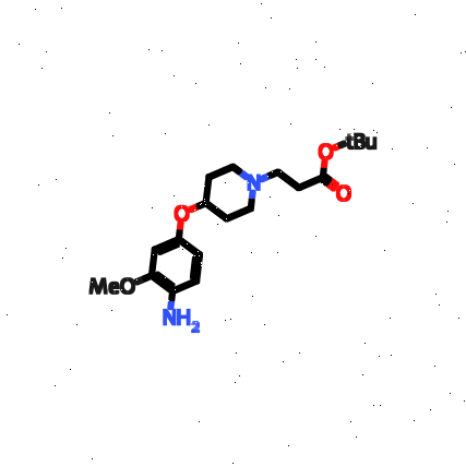 COc1cc(OC2CCN(CCC(=O)OC(C)(C)C)CC2)ccc1N